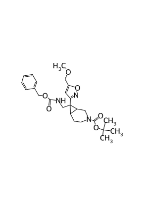 COCc1cc(C2(CNC(=O)OCc3ccccc3)C3CCN(C(=O)OC(C)(C)C)CC32)no1